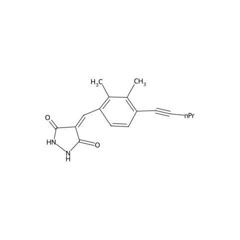 CCCC#Cc1ccc(C=C2C(=O)NNC2=O)c(C)c1C